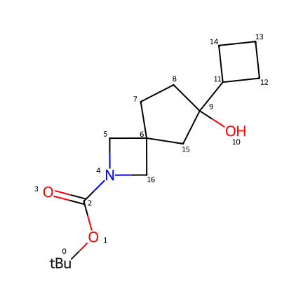 CC(C)(C)OC(=O)N1CC2(CCC(O)(C3CCC3)C2)C1